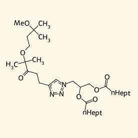 CCCCCCCC(=O)OCC(Cn1cc(CCC(=O)C(C)(C)OCCC(C)(C)OC)nn1)OC(=O)CCCCCCC